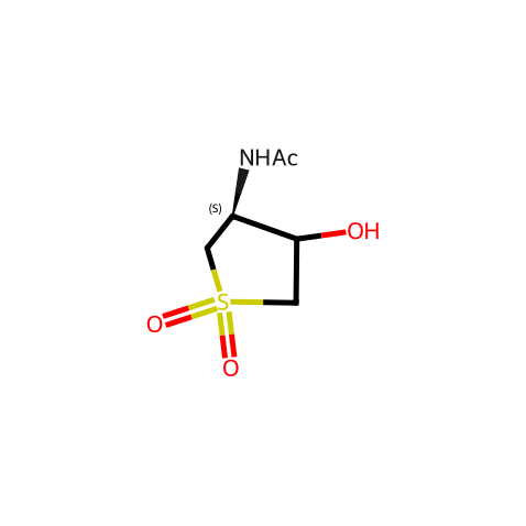 CC(=O)N[C@@H]1CS(=O)(=O)CC1O